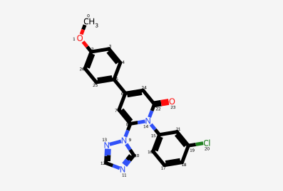 COc1ccc(-c2cc(-n3cncn3)n(-c3cccc(Cl)c3)c(=O)c2)cc1